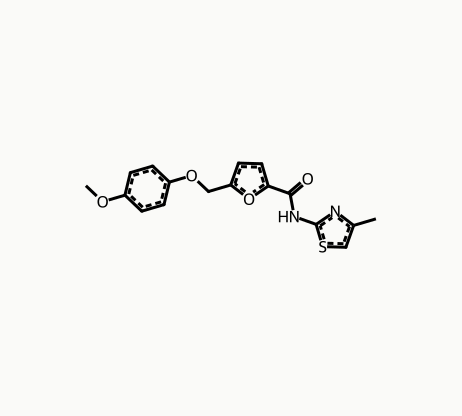 COc1ccc(OCc2ccc(C(=O)Nc3nc(C)cs3)o2)cc1